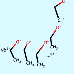 CC[O-].CC[O-].CC[O-].CC[O-].CC[O-].[LiH].[Nb+5]